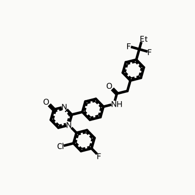 CCC(F)(F)c1ccc(CC(=O)Nc2ccc(-c3nc(=O)ccn3-c3ccc(F)cc3Cl)cc2)cc1